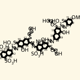 COc1ccc(N=Nc2c(SOOO)cc3cc(N=Nc4c(SOOO)cc5c(S(=O)(=O)O)cc(N=Nc6cc7c(O)c(N=Nc8ccc9c(S(=O)(=O)O)cccc9c8S(=O)(=O)O)c(S(=O)(=O)O)cc7cc6SOOO)c(N)c5c4O)ccc3c2O)c(S(=O)(=O)O)c1